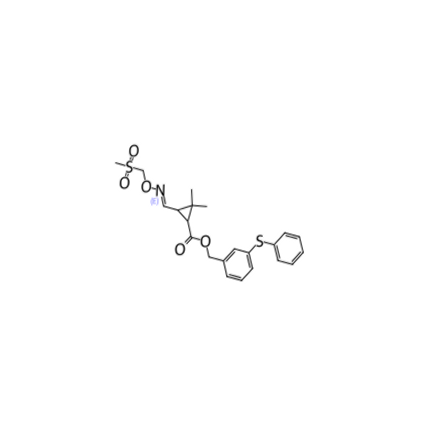 CC1(C)C(/C=N/OCS(C)(=O)=O)C1C(=O)OCc1cccc(Sc2ccccc2)c1